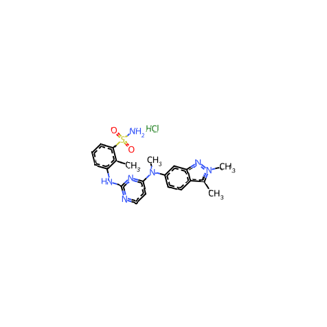 Cc1c(Nc2nccc(N(C)c3ccc4c(C)n(C)nc4c3)n2)cccc1S(N)(=O)=O.Cl